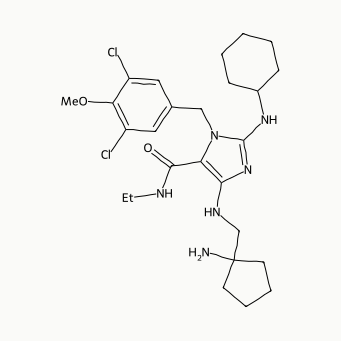 CCNC(=O)c1c(NCC2(N)CCCC2)nc(NC2CCCCC2)n1Cc1cc(Cl)c(OC)c(Cl)c1